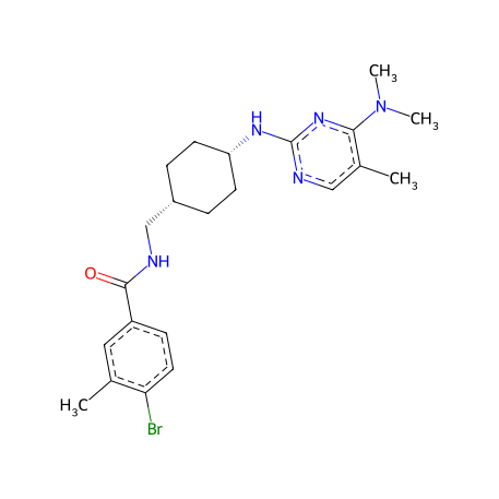 Cc1cc(C(=O)NC[C@H]2CC[C@@H](Nc3ncc(C)c(N(C)C)n3)CC2)ccc1Br